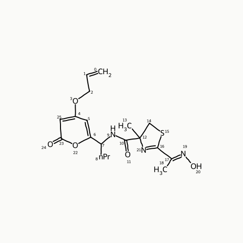 C=CCOc1cc(C(CCC)NC(=O)C2(C)CSC(/C(C)=N/O)=N2)oc(=O)c1